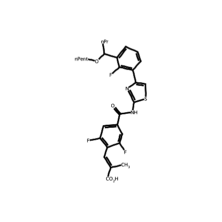 CCCCCOC(CCC)c1cccc(-c2csc(NC(=O)c3cc(F)c(C=C(C)C(=O)O)c(F)c3)n2)c1F